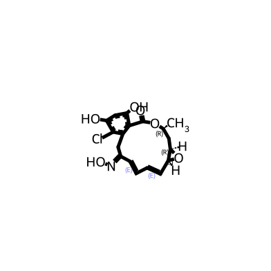 C[C@@H]1C[C@H]2O[C@H]2/C=C/C=C/C(=NO)Cc2c(Cl)c(O)cc(O)c2C(=O)O1